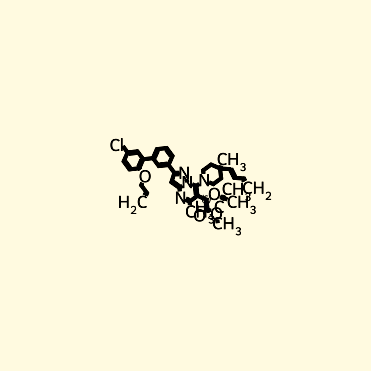 C=CC=CC1(C)CCN(c2c([C@H](OC(C)(C)C)C(=O)OC)c(C)nc3cc(-c4cccc(-c5cc(Cl)ccc5OCC=C)c4)nn23)CC1